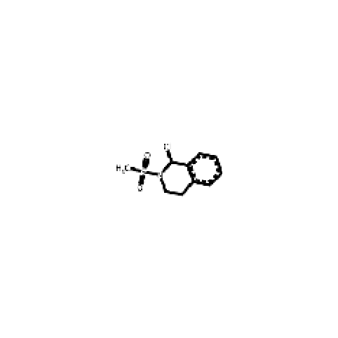 CS(=O)(=O)N1CCc2ccccc2C1Cl